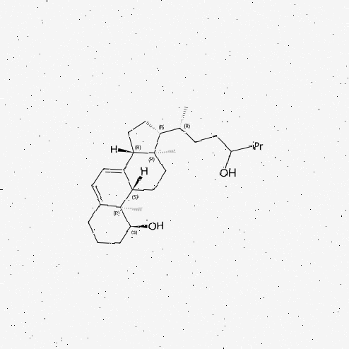 CC(C)C(O)CC[C@@H](C)[C@H]1CC[C@H]2C3=CC=C4CCC[C@H](O)[C@]4(C)[C@H]3CC[C@]12C